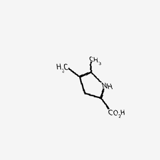 CC1CC(C(=O)O)NC1C